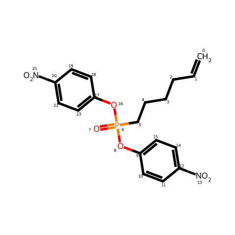 C=CCCCCP(=O)(Oc1ccc([N+](=O)[O-])cc1)Oc1ccc([N+](=O)[O-])cc1